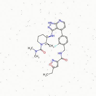 CCc1cc(C(=O)NCc2ccc(-c3ccnc4[nH]nc(N[C@@H]5CCCN(C(=O)N(C)C)[C@@H]5C)c34)cc2F)no1